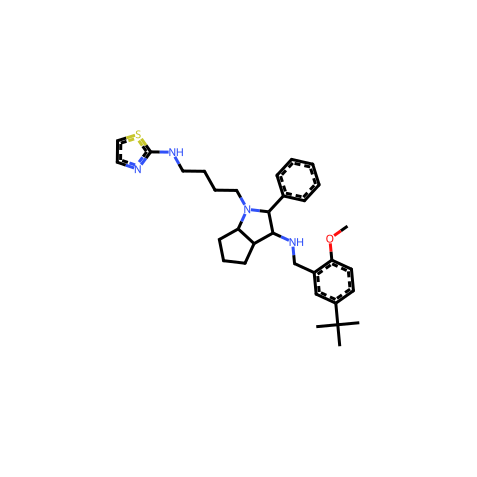 COc1ccc(C(C)(C)C)cc1CNC1C2CCCC2N(CCCCNc2nccs2)C1c1ccccc1